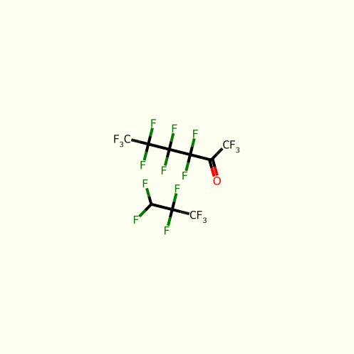 FC(F)C(F)(F)C(F)(F)F.O=C(C(F)(F)F)C(F)(F)C(F)(F)C(F)(F)C(F)(F)F